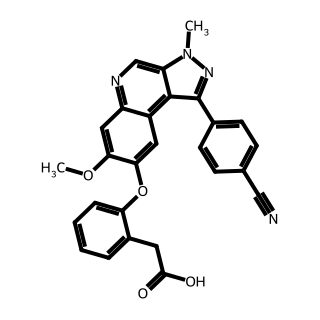 COc1cc2ncc3c(c(-c4ccc(C#N)cc4)nn3C)c2cc1Oc1ccccc1CC(=O)O